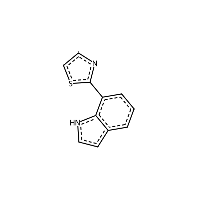 [c]1csc(-c2cccc3cc[nH]c23)n1